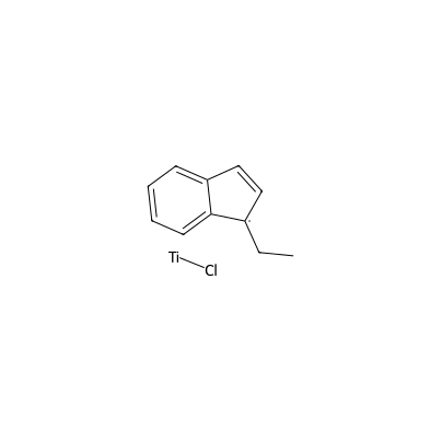 CC[C]1C=Cc2ccccc21.[Cl][Ti]